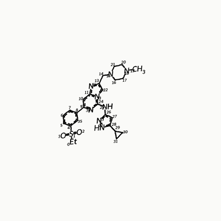 CCS(=O)(=O)c1cccc(-c2cc3nc(CN4CCN(C)CC4)cn3c(Nc3cc(C4CC4)[nH]n3)n2)c1